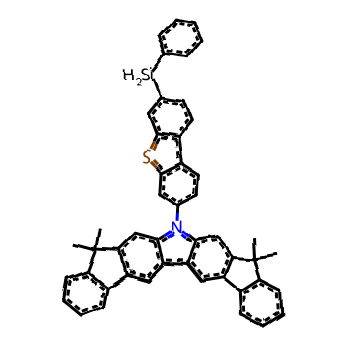 CC1(C)c2ccccc2-c2cc3c4cc5c(cc4n(-c4ccc6c(c4)sc4cc([SiH2]c7ccccc7)ccc46)c3cc21)C(C)(C)c1ccccc1-5